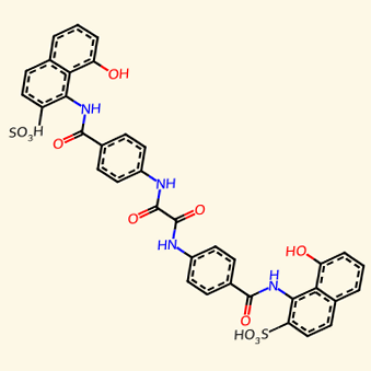 O=C(Nc1ccc(C(=O)Nc2c(S(=O)(=O)O)ccc3cccc(O)c23)cc1)C(=O)Nc1ccc(C(=O)Nc2c(S(=O)(=O)O)ccc3cccc(O)c23)cc1